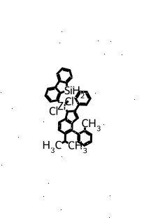 Cc1ccccc1-c1c(C(C)C)ccc2c1C=C(c1ccccc1)[CH]2[Zr]([Cl])([Cl])[c]1cccc2c1[SiH2]c1ccccc1-2